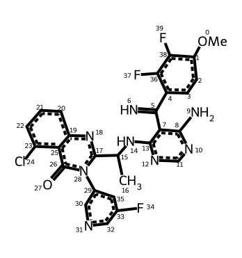 COc1ccc(C(=N)c2c(N)ncnc2NC(C)c2nc3cccc(Cl)c3c(=O)n2-c2cncc(F)c2)c(F)c1F